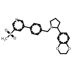 CS(=O)(=O)c1cncc(-c2ccc(CN3CCCC3c3ccc4c(c3)OCCO4)cc2)c1